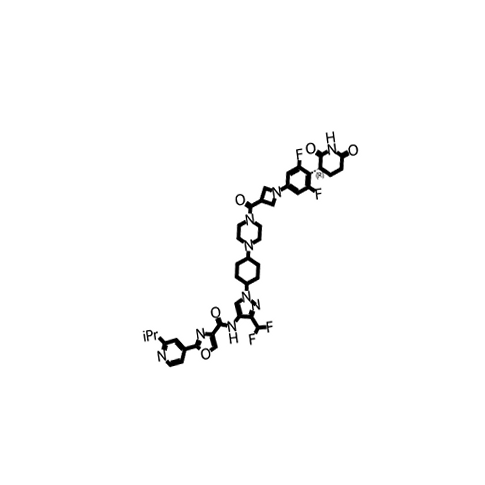 CC(C)c1cc(-c2nc(C(=O)Nc3cn(C4CCC(N5CCN(C(=O)C6CN(c7cc(F)c([C@H]8CCC(=O)NC8=O)c(F)c7)C6)CC5)CC4)nc3C(F)F)co2)ccn1